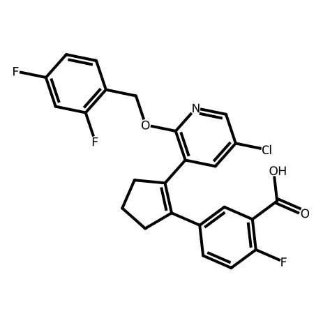 O=C(O)c1cc(C2=C(c3cc(Cl)cnc3OCc3ccc(F)cc3F)CCC2)ccc1F